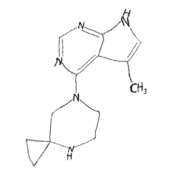 Cc1c[nH]c2ncnc(N3CCNC4(CC4)C3)c12